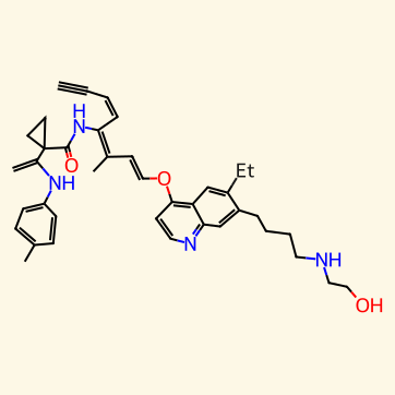 C#C\C=C/C(NC(=O)C1(C(=C)Nc2ccc(C)cc2)CC1)=C(C)\C=C\Oc1ccnc2cc(CCCCNCCO)c(CC)cc12